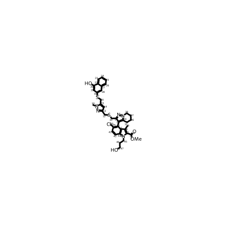 COC(=O)c1c(C)c2c(-c3c(CSCc4cc(CSc5cc(O)c6ccccc6c5)n(C)n4)nn4c3CCCC4)c(Cl)ccc2n1CCCO